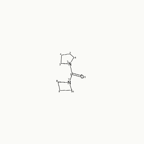 O=C(N1CCCC1)N1CCC1